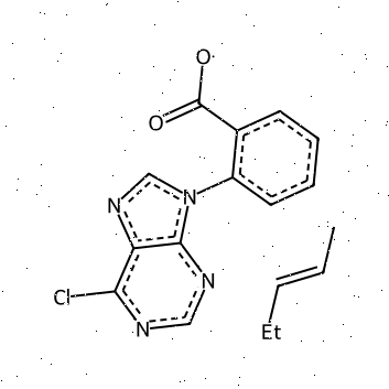 CC=CCC.[O]C(=O)c1ccccc1-n1cnc2c(Cl)ncnc21